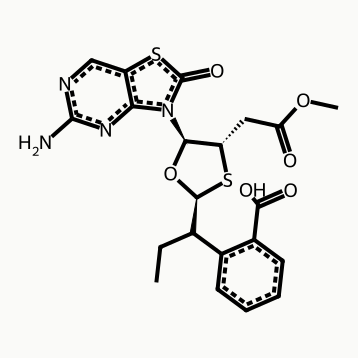 CCC(c1ccccc1C(=O)O)[C@H]1O[C@@H](n2c(=O)sc3cnc(N)nc32)[C@H](CC(=O)OC)S1